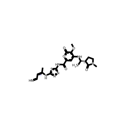 COc1c(NC([SiH3])[C@H]2CCN(C)C2=O)cc(C(=O)Nc2nnc(N/C(C)=C\C=N)s2)oc1=O